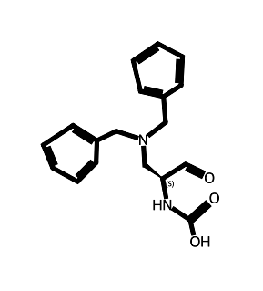 O=C[C@H](CN(Cc1ccccc1)Cc1ccccc1)NC(=O)O